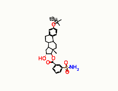 CC(C)(C)[Si](C)(C)Oc1ccc2c(c1)CCC1C2CC[C@@]2(C)C1C[C@@H](O)[C@@H]2OC(=O)c1cccc(S(N)(=O)=O)c1